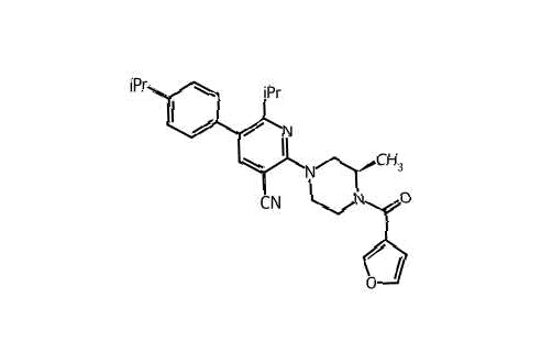 CC(C)c1ccc(-c2cc(C#N)c(N3CCN(C(=O)c4ccoc4)[C@H](C)C3)nc2C(C)C)cc1